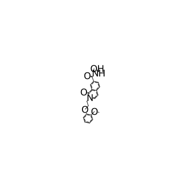 COc1ccccc1OCCn1ccc2ccc(C(=O)NO)cc2c1=O